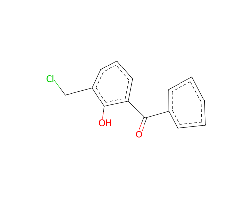 O=C(c1ccccc1)c1cccc(CCl)c1O